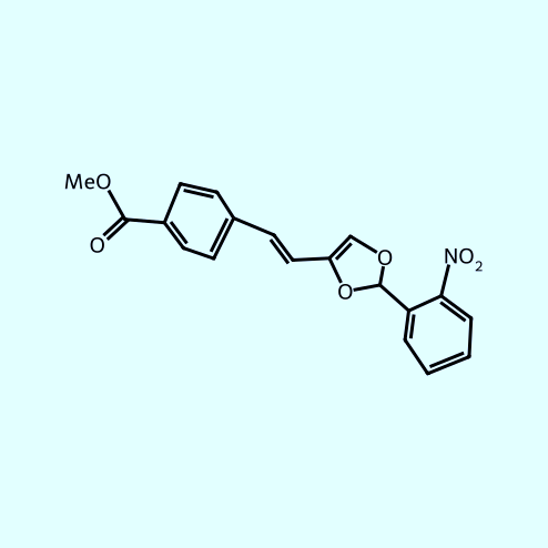 COC(=O)c1ccc(C=CC2=COC(c3ccccc3[N+](=O)[O-])O2)cc1